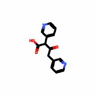 O=C(O)C(C(=O)Cc1cccnc1)c1cccnc1